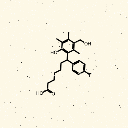 Cc1c(C)c(CO)c(C)c(C(CCCCCC(=O)O)c2ccc(F)cc2)c1O